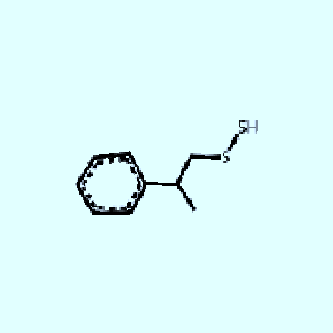 CC(CSS)c1ccccc1